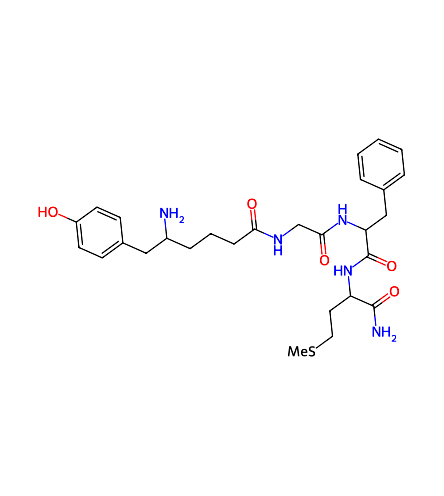 CSCCC(NC(=O)C(Cc1ccccc1)NC(=O)CNC(=O)CCCC(N)Cc1ccc(O)cc1)C(N)=O